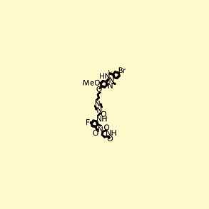 COc1cc2c(N[C@H](C)c3cccc(Br)c3)nc(C)nc2cc1OCCCCN1CCN(C(=O)CNc2cc(F)cc3c2CN(C2CCC(=O)NC2=O)C3=O)CC1